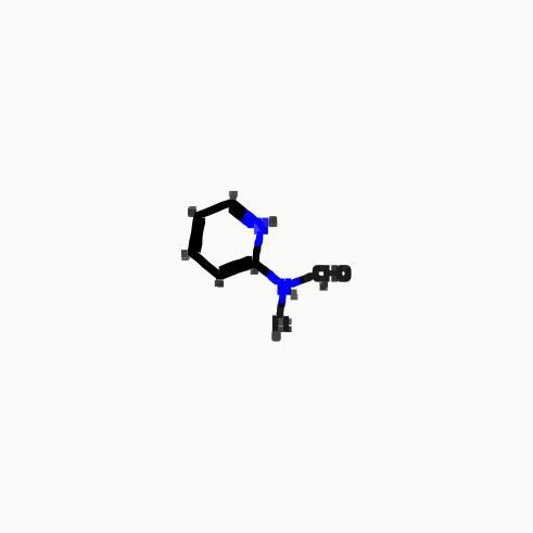 [CH2]CN(C=O)c1ccccn1